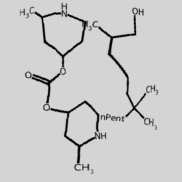 CC1CC(OC(=O)OC2CCNC(C)C2)CCN1.CCCCCC(C)(C)CCCC(C)CO